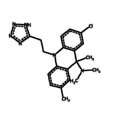 Cc1ccc2c(c1)C(C)(N(C)C)c1cc(Cl)ccc1N2CCc1nnn[nH]1